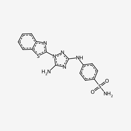 Nc1nc(Nc2ccc(S(N)(=O)=O)cc2)nn1-c1nc2ccccc2s1